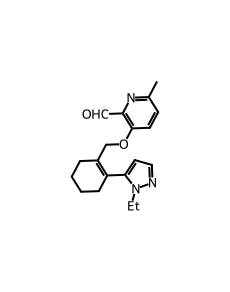 CCn1nccc1C1=C(COc2ccc(C)nc2C=O)CCCC1